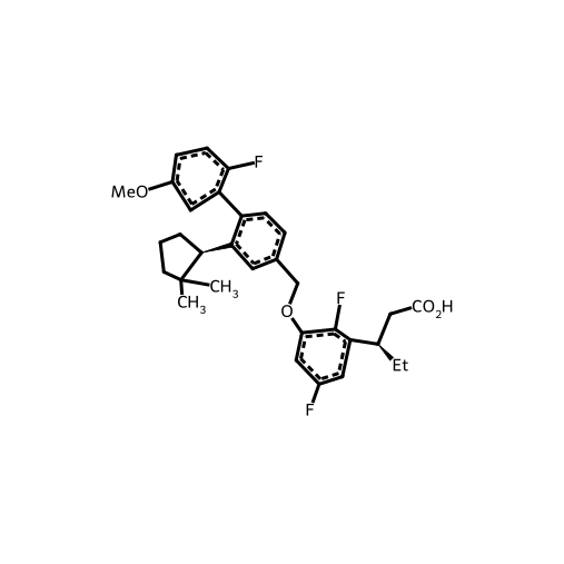 CC[C@H](CC(=O)O)c1cc(F)cc(OCc2ccc(-c3cc(OC)ccc3F)c([C@@H]3CCCC3(C)C)c2)c1F